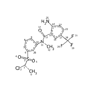 CC(Cl)S(=O)(=O)c1cccc(N(C)C(=O)c2[c]c(C(F)(F)F)ccc2N)c1